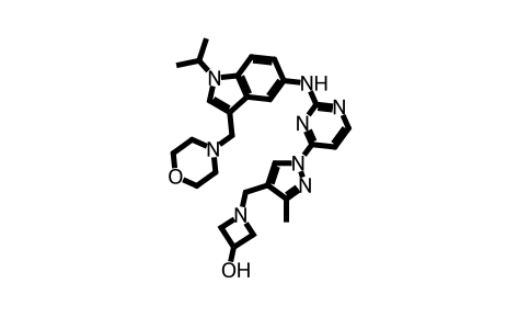 Cc1nn(-c2ccnc(Nc3ccc4c(c3)c(CN3CCOCC3)cn4C(C)C)n2)cc1CN1CC(O)C1